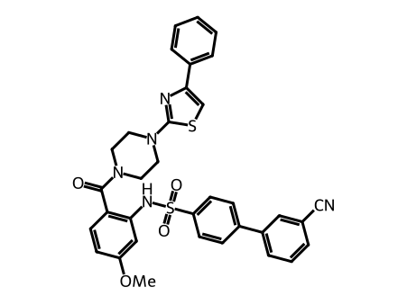 COc1ccc(C(=O)N2CCN(c3nc(-c4ccccc4)cs3)CC2)c(NS(=O)(=O)c2ccc(-c3cccc(C#N)c3)cc2)c1